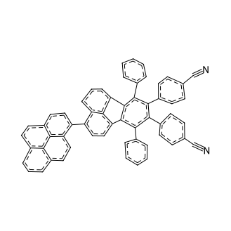 N#Cc1ccc(-c2c(-c3ccc(C#N)cc3)c(-c3ccccc3)c3c(c2-c2ccccc2)-c2cccc4c(-c5ccc6ccc7cccc8ccc5c6c78)ccc-3c24)cc1